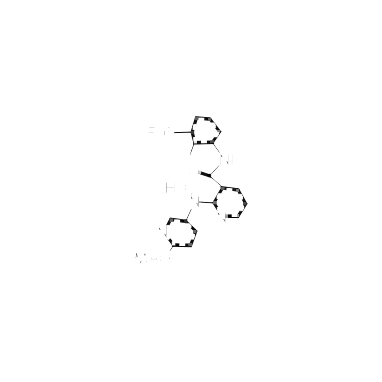 COc1ccc(N(C)c2ncccc2C(=O)Nc2cccc(C(F)(F)F)c2F)cn1